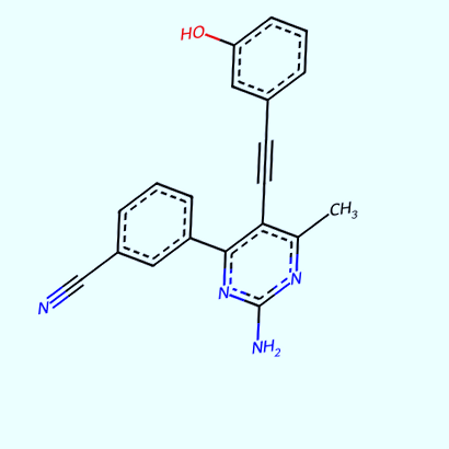 Cc1nc(N)nc(-c2cccc(C#N)c2)c1C#Cc1cccc(O)c1